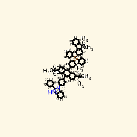 CC(C)(C)c1ccc2c(-c3ccc(S(c4ccccc4)(c4ccccc4)c4ccc5c(c4)-c4ccccc4C5(C)C)cc3)c3cc(C(C)(C)C)ccc3c(-c3ccc(N4c5ccccc5NC4c4ccccc4)cc3)c2c1